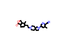 Cc1cc(N2CCC3(CCN(CCc4ccc5c(c4C)COC5=O)CC3)C2)cnc1C#N